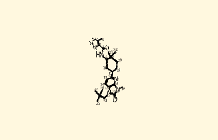 Cc1snnc1C(=O)NC1CC(c2ccc3c(n2)n(C)c(=O)n3CC(C)(C)C)CCC1(C)C